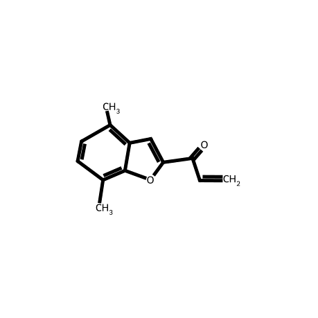 C=CC(=O)c1cc2c(C)ccc(C)c2o1